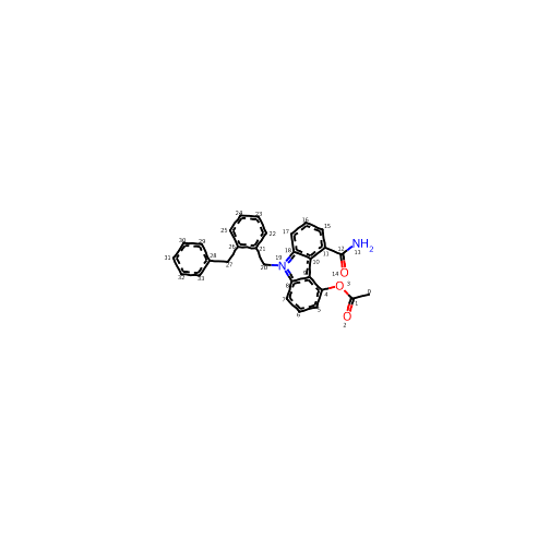 CC(=O)Oc1cccc2c1c1c(C(N)=O)cccc1n2Cc1ccccc1Cc1ccccc1